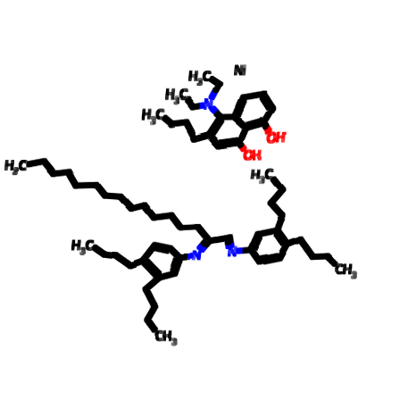 CCCCCCCCCCCCCCC(C=Nc1ccc(CCCC)c(CCCC)c1)=Nc1ccc(CCCC)c(CCCC)c1.CCCCc1cc(O)c2c(O)cccc2c1N(CC)CC.[Ni]